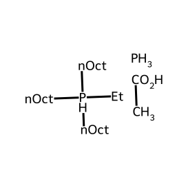 CC(=O)O.CCCCCCCC[PH](CC)(CCCCCCCC)CCCCCCCC.P